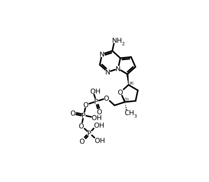 C[C@@]1(COP(=O)(O)OP(=O)(O)OP(=O)(O)O)CC[C@H](c2ccc3c(N)ncnn23)O1